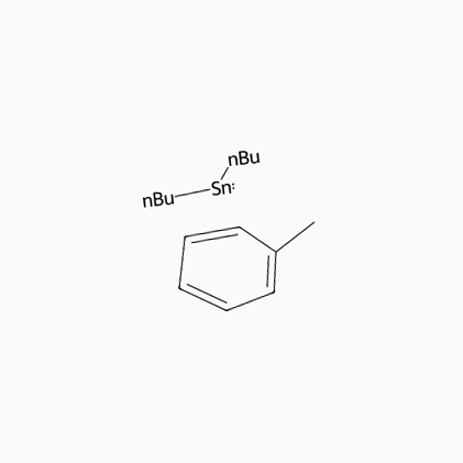 CCC[CH2][Sn][CH2]CCC.Cc1ccccc1